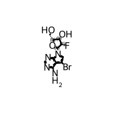 Nc1ncnc2c1c(Br)cn2[C@@H]1O[C@H](CO)[C@@H](O)[C@H]1F